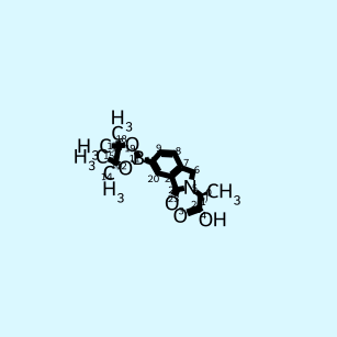 C[C@@H](C(=O)O)N1Cc2ccc(B3OC(C)(C)C(C)(C)O3)cc2C1=O